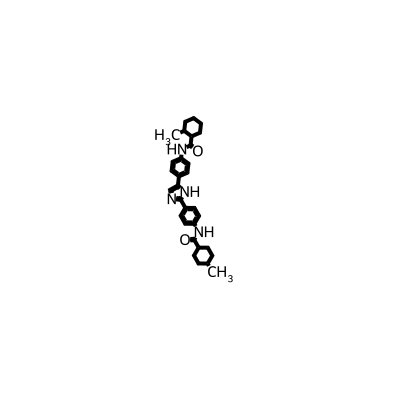 CC1CCC(C(=O)Nc2ccc(-c3ncc(-c4ccc(NC(=O)C5CCCCC5C)cc4)[nH]3)cc2)CC1